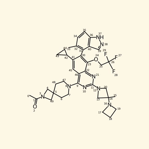 CC(=O)N1CC2(CCN(c3nc(N4CC(C)(N5CCC5)C4)nc4c(OCC(F)(F)F)c(-c5c(C)ccc6[nH]ncc56)c(C5CC5)cc34)CC2)C1